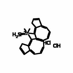 Cl.Cl.[CH3][Zr]([CH3])(=[SiH2])([C]1=C2CC=CC2=CC=CC=C1)[C]1=C2CC=CC2=CC=CC=C1